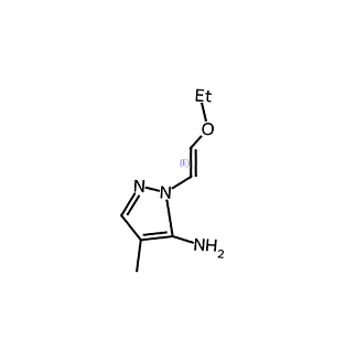 CCO/C=C/n1ncc(C)c1N